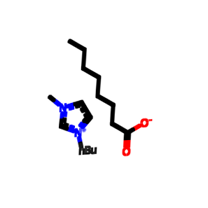 CCCCCCCC(=O)[O-].CCCC[n+]1ccn(C)c1